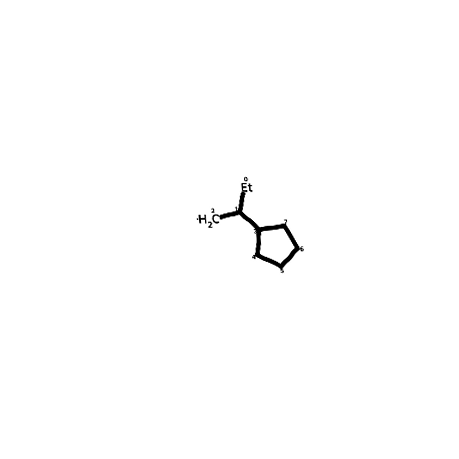 [CH2]CC([CH2])C1CCCC1